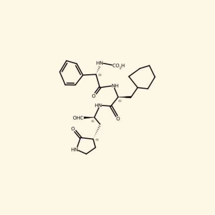 O=C[C@H](C[C@@H]1CCNC1=O)NC(=O)[C@H](CC1CCCCC1)NC(=O)[C@@H](NC(=O)O)c1ccccc1